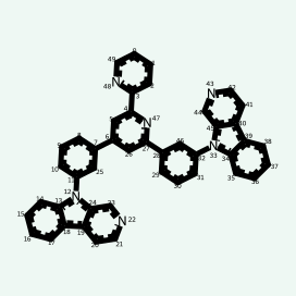 c1ccc(-c2cc(-c3cccc(-n4c5ccccc5c5ccncc54)c3)cc(-c3cccc(-n4c5ccccc5c5ccncc54)c3)n2)nc1